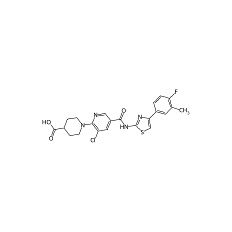 Cc1cc(-c2csc(NC(=O)c3cnc(N4CCC(C(=O)O)CC4)c(Cl)c3)n2)ccc1F